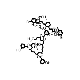 C=C(/C=C/C1=C(Oc2cccc(C3OC(CCC)CC(CC(O)CCCC4CC(CCCC5CC(CC)OC(c6cccc(O)c6)O5)OC(c5cccc(O)c5)O4)O3)c2)C(=C/C=C2/N(CC)c3ccc(Br)cc3C2(C)C)/CCC1)C(C)(C)c1cc(Br)ccc1C